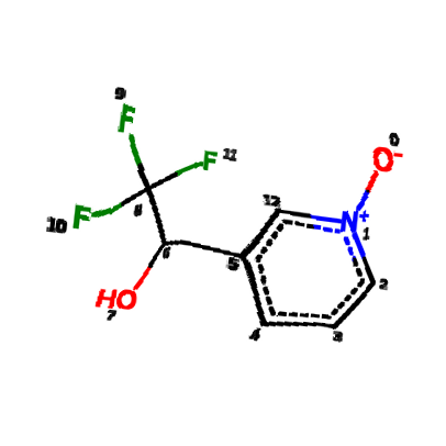 [O-][n+]1cccc(C(O)C(F)(F)F)c1